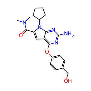 CN(C)C(=O)c1cc2c(Oc3ccc(CO)cc3)nc(N)nc2n1C1CCCC1